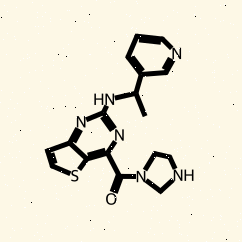 CC(Nc1nc(C(=O)N2CCNC2)c2sccc2n1)c1cccnc1